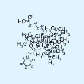 CC(C)[Si](O[C@@H](CCc1ccccc1)CC[C@@H]1[C@@H](C/C=C\CCCC(=O)O)[C@@H](O[Si](C(C)C)(C(C)C)C(C)C)C[C@H]1O[Si](C(C)C)(C(C)C)C(C)C)(C(C)C)C(C)C